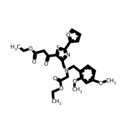 CCOC(=O)CC(=O)c1sc(-c2ccco2)nc1CN(CC(=O)OCC)Cc1ccc(OC)cc1OC